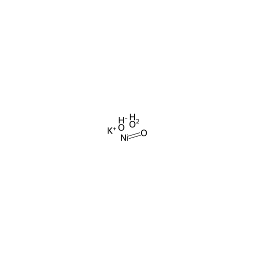 O.[K+].[OH-].[O]=[Ni]